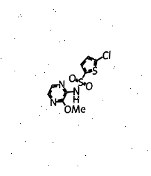 COc1nccnc1NS(=O)(=O)c1ccc(Cl)s1